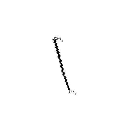 CCCCCCCCCCCC[CH]CCCCCCCCCCCCCCCCCCCC